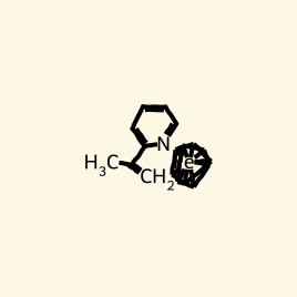 C=C(C)c1ccccn1.[CH]12[CH]3[CH]4[CH]5[CH]1[Fe]23451678[CH]2[CH]1[CH]6[CH]7[CH]28